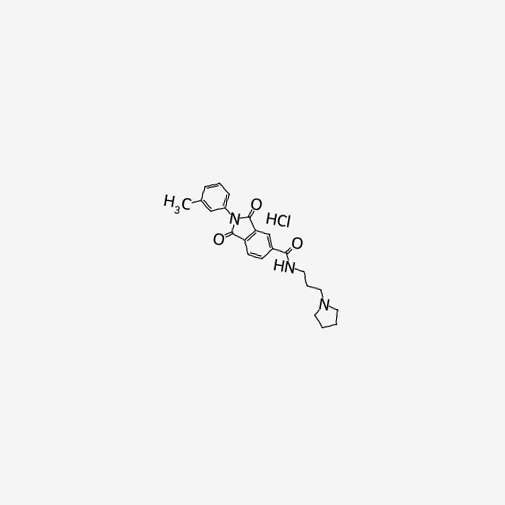 Cc1cccc(N2C(=O)c3ccc(C(=O)NCCCN4CCCC4)cc3C2=O)c1.Cl